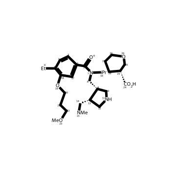 CCc1ccc(C(=O)N(C[C@@H]2CNC[C@@H]2CNC)C(C)C)cc1OCCCOC.O=C(O)[C@@H]1CCCOC1